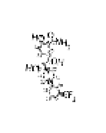 Cl.NC(=O)c1cc(C(O)CN2CCN(c3cccc(C(F)(F)F)c3)CC2)ccc1O